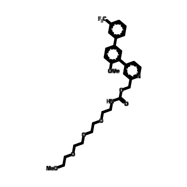 COCCOCCOCCOCCNC(=O)OCc1cc(-c2cc(-c3cccc(C(F)(F)F)c3)ccc2OC)ccn1